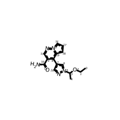 CCOC(C)n1cc(-c2c(C(N)=O)cnn3cccc23)cn1